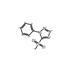 CS(=O)(=O)c1nnnn1-c1cc[c]cc1